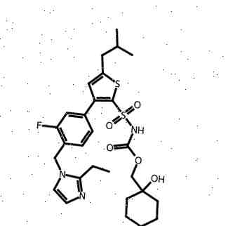 CCc1nccn1Cc1ccc(-c2cc(CC(C)C)sc2S(=O)(=O)NC(=O)OCC2(O)CCCCC2)cc1F